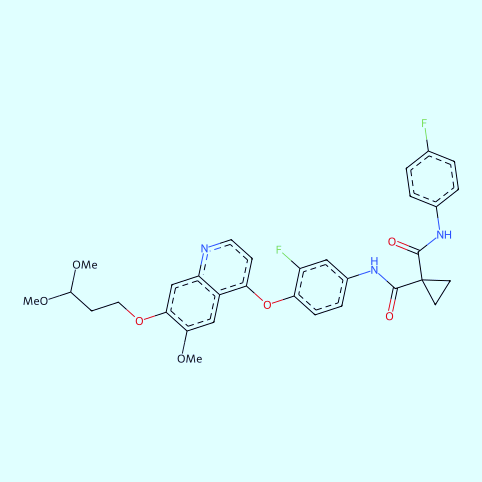 COc1cc2c(Oc3ccc(NC(=O)C4(C(=O)Nc5ccc(F)cc5)CC4)cc3F)ccnc2cc1OCCC(OC)OC